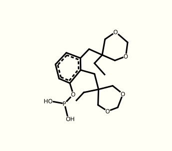 CCC1(Cc2cccc(OP(O)O)c2CC2(CC)COCOC2)COCOC1